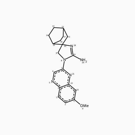 COc1ccc2ncc(N3CC4(CC5CCC4CC5)N=C3N)nc2c1